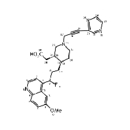 COc1ccc2nccc(C(F)CC[C@@H]3CCN(CC#Cc4cnccn4)C[C@@H]3CC(=O)O)c2c1